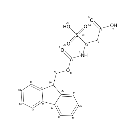 O=C(O)CC(NC(=O)OCC1c2ccccc2-c2ccccc21)S(=O)(=O)O